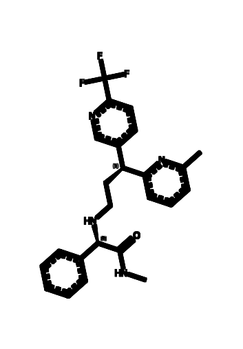 CNC(=O)[C@H](NCC[C@@H](c1ccc(C(F)(F)F)nc1)c1cccc(C)n1)c1ccccc1